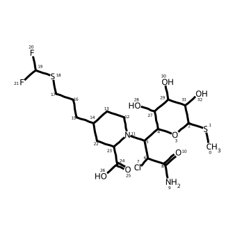 CSC1OC(C(C(Cl)C(N)=O)N2CCC(CCCSC(F)F)CC2C(=O)O)C(O)C(O)C1O